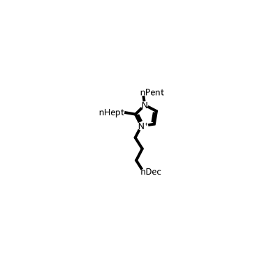 CCCCCCCCCCCCC[n+]1ccn(CCCCC)c1CCCCCCC